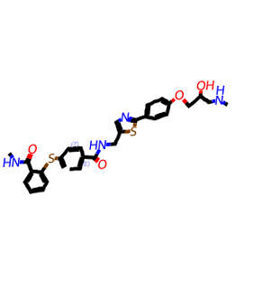 C=C(/C=C\C(=C/C)C(=O)NCc1cnc(-c2ccc(OCC(O)CNC)cc2)s1)Sc1ccccc1C(=O)NC